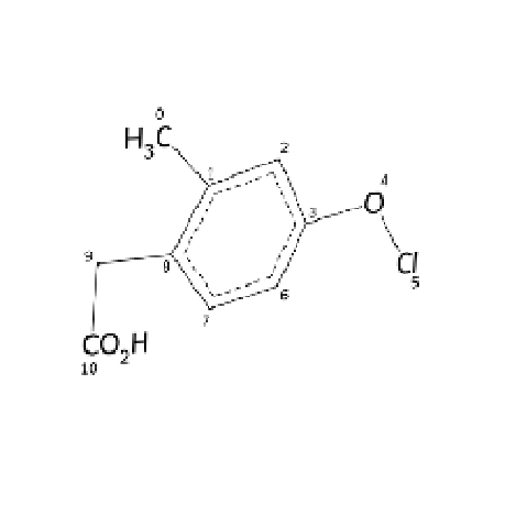 Cc1cc(OCl)ccc1CC(=O)O